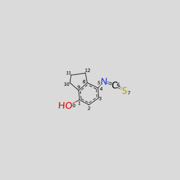 Oc1ccc(N=C=S)c2c1CCC2